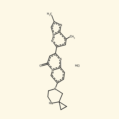 Cc1cn2nc(-c3cc(=O)n4cc(N5CCNC6(CC6)C5)ccc4n3)cc(C)c2n1.Cl